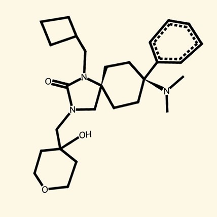 CN(C)[C@]1(c2ccccc2)CC[C@@]2(CC1)CN(CC1(O)CCOCC1)C(=O)N2CC1CCC1